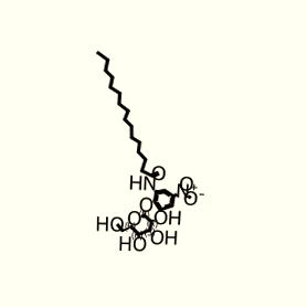 CCCCCCCCCCCCCCCC(=O)Nc1cc([N+](=O)[O-])ccc1O[C@@H]1O[C@H](CO)[C@H](O)[C@H](O)[C@H]1O